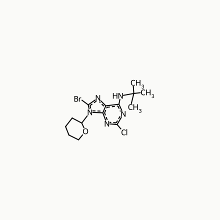 CC(C)(C)Nc1nc(Cl)nc2c1nc(Br)n2C1CCCCO1